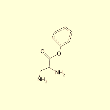 NCC(N)C(=O)Oc1ccccc1